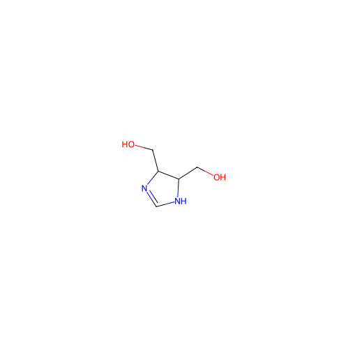 OCC1N=CNC1CO